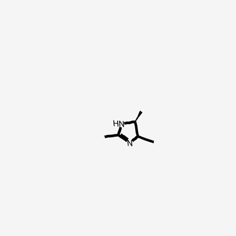 CC1=NC(C)[C@H](C)N1